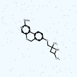 CC(=O)Nc1cc2c(cn1)OCc1cc(OCC3(C)CC(C)N3)ccc1-2